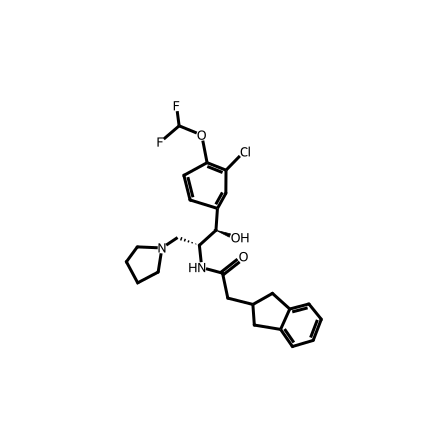 O=C(CC1Cc2ccccc2C1)N[C@H](CN1CCCC1)[C@H](O)c1ccc(OC(F)F)c(Cl)c1